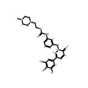 CN1CCN(CCOC(=O)Nc2cccc(Cn3nc(-c4cc(F)c(F)c(F)c4)ccc3=O)c2)CC1